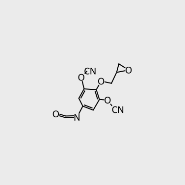 N#COc1cc(N=C=O)cc(OC#N)c1OCC1CO1